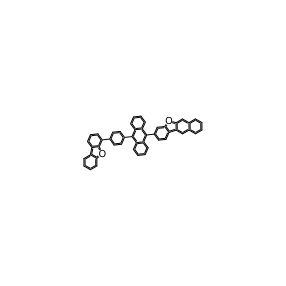 c1ccc2cc3c(cc2c1)oc1cc(-c2c4ccccc4c(-c4ccc(-c5cccc6c5oc5ccccc56)cc4)c4ccccc24)ccc13